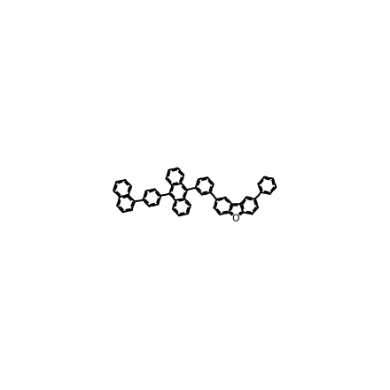 c1ccc(-c2ccc3oc4ccc(-c5cccc(-c6c7ccccc7c(-c7ccc(-c8cccc9ccccc89)cc7)c7ccccc67)c5)cc4c3c2)cc1